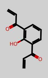 C=CC(=O)c1cccc(C(=O)C=C)c1O